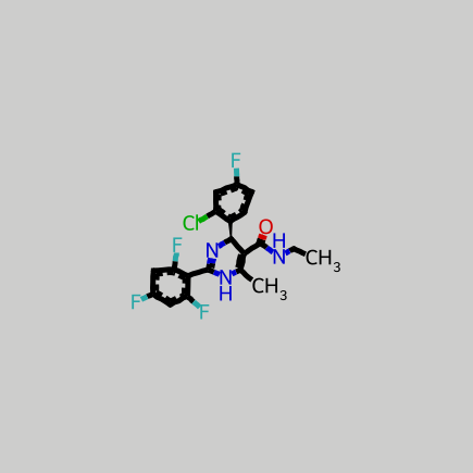 CCNC(=O)C1=C(C)NC(c2c(F)cc(F)cc2F)=N[C@H]1c1ccc(F)cc1Cl